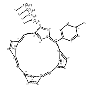 CC(=O)O.CC(=O)O.CC(=O)O.CC(=O)O.CN1C=CC(c2c3nc(cc4ccc(cc5nc(cc6ccc2[nH]6)C=C5)[nH]4)C=C3)=CC1